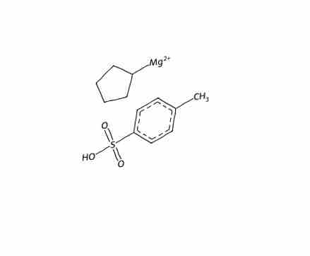 Cc1ccc(S(=O)(=O)O)cc1.[Mg+2][CH]1CCCC1